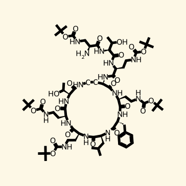 CC(C)C[C@@H]1NC(=O)[C@@H](Cc2ccccc2)NC(=O)[C@H](CCNC(=O)OC(C)(C)C)NC(=O)[C@@H](NC(=O)[C@H](CCNC(=O)OC(C)(C)C)NC(=O)[C@@H](NC(=O)[C@@H](N)CNC(=O)OC(C)(C)C)C(C)O)CCNC(=O)[C@H](C(C)O)NC(=O)[C@H](CCNC(=O)OC(C)(C)C)NC(=O)[C@H](CCNC(=O)OC(C)(C)C)NC1=O